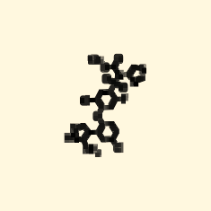 CC(C)(C)OC(=O)N(c1cscn1)S(=O)(=O)c1cc(Cl)c(Oc2ccc(Cl)cc2-c2cn[nH]c2N)cc1F